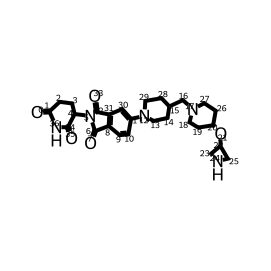 O=C1CCC(N2C(=O)c3ccc(N4CCC(CN5CCC(OC6CNC6)CC5)CC4)cc3C2=O)C(=O)N1